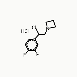 Cl.Fc1ccc(C(Cl)CN2CCC2)cc1F